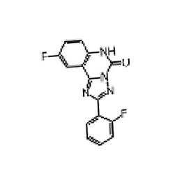 O=c1[nH]c2ccc(F)cc2c2nc(-c3ccccc3F)nn12